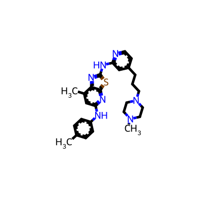 Cc1ccc(Nc2cc(C)c3nc(Nc4cc(CCCN5CCN(C)CC5)ccn4)sc3n2)cc1